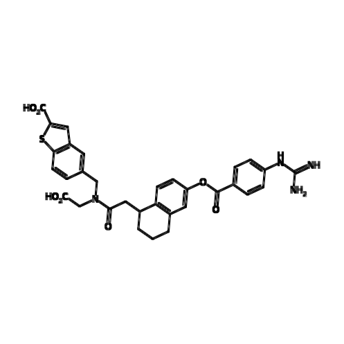 N=C(N)Nc1ccc(C(=O)Oc2ccc3c(c2)CCCC3CC(=O)N(CC(=O)O)Cc2ccc3sc(C(=O)O)cc3c2)cc1